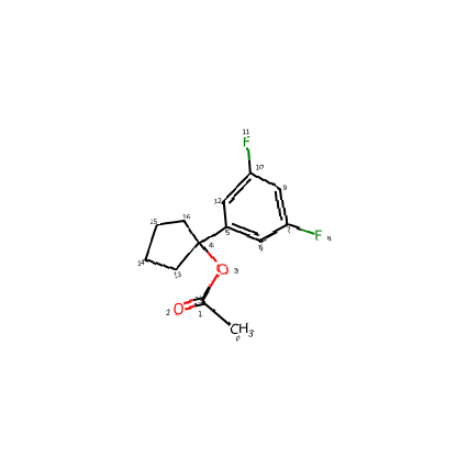 CC(=O)OC1(c2cc(F)cc(F)c2)CCCC1